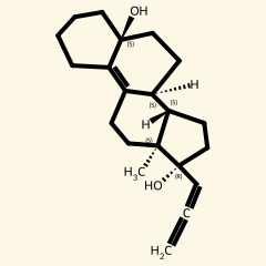 C=C=C[C@]1(O)CC[C@H]2[C@@H]3CC[C@@]4(O)CCCCC4=C3CC[C@@]21C